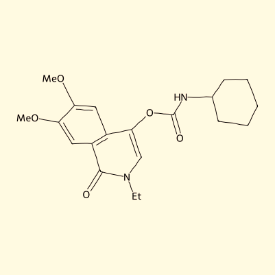 CCn1cc(OC(=O)NC2CCCCC2)c2cc(OC)c(OC)cc2c1=O